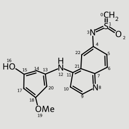 C=S(=O)=Nc1ccc2nccc(Nc3cc(O)cc(OC)c3)c2c1